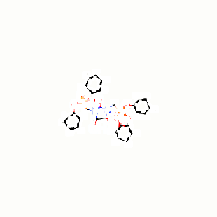 O=C1N(CP(=O)(Oc2ccccc2)Oc2ccccc2)C(O)C(O)N1CP(=O)(Oc1ccccc1)Oc1ccccc1